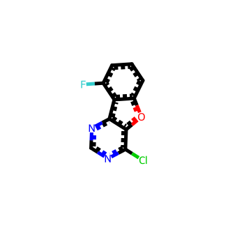 Fc1cccc2oc3c(Cl)ncnc3c12